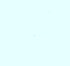 CS(=O)(=O)c1ccc(-c2nc(C=Cc3ccccc3)[nH]c2-c2ccc(F)cc2)cc1